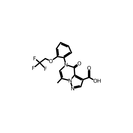 Cc1cn(-c2ccccc2OCC(F)(F)F)c(=O)c2c(C(=O)O)cnn12